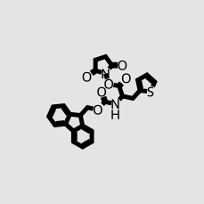 O=C(NC(Cc1cccs1)C(=O)ON1C(=O)CCC1=O)OCC1c2ccccc2-c2ccccc21